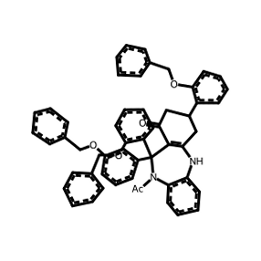 CC(=O)N1c2ccccc2NC2=C(C(=O)CC(c3ccccc3OCc3ccccc3)C2)C1(c1cccc(OCc2ccccc2)c1)c1ccccc1OCc1ccccc1